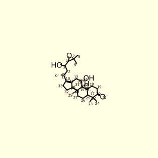 C[C@H](CC(O)C1OC1(C)C)C1=C2C[C@H](O)[C@H]3[C@@]4(C)CCC(=O)C(C)(C)C4CC[C@]3(C)[C@@]2(C)CC1